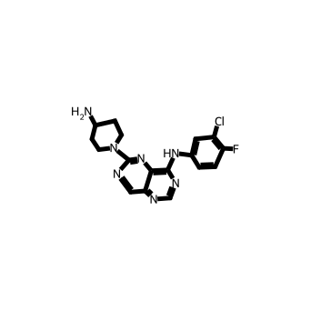 NC1CCN(c2ncc3ncnc(Nc4ccc(F)c(Cl)c4)c3n2)CC1